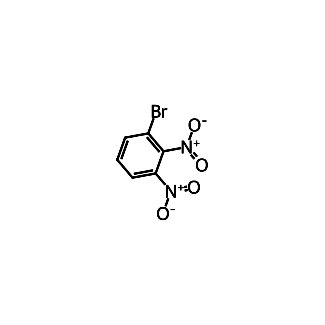 O=[N+]([O-])c1cccc(Br)c1[N+](=O)[O-]